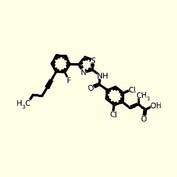 CCCC#Cc1cccc(-c2csc(NC(=O)c3cc(Cl)c(C=C(C)C(=O)O)c(Cl)c3)n2)c1F